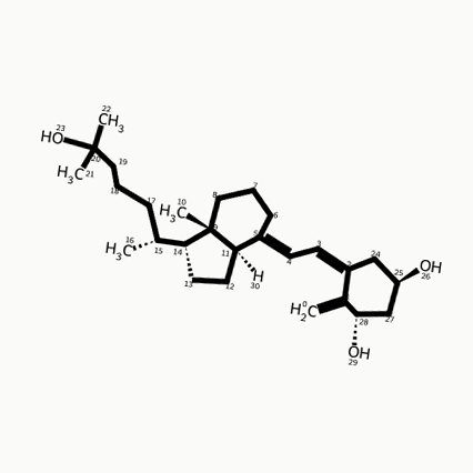 C=C1C(=CC=C2CCC[C@]3(C)[C@@H]2CC[C@@H]3[C@H](C)CCCC(C)(C)O)C[C@@H](O)C[C@@H]1O